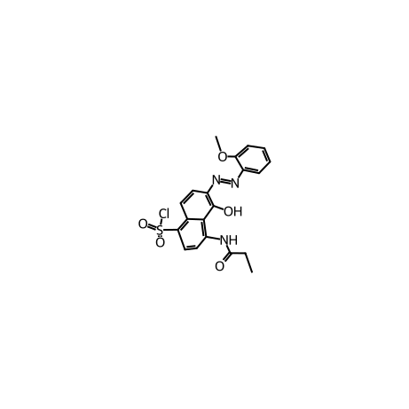 CCC(=O)Nc1ccc(S(=O)(=O)Cl)c2ccc(N=Nc3ccccc3OC)c(O)c12